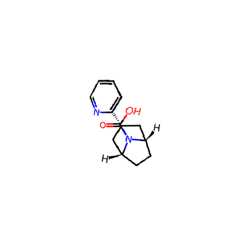 O=C(O)N1[C@@H]2CC[C@H]1C[C@@H](c1ccccn1)C2